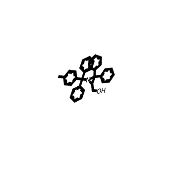 Cc1ccc(C(c2ccccc2)(c2ccccc2)N2C(CO)C2(c2ccccc2)c2ccccc2)cc1